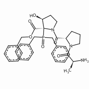 C[C@H](N)C(=O)N1CCC[C@H]1C(=O)N1CC[C@H](O)[C@]1(C(=O)OCc1ccccc1)P(=O)(Cc1ccccc1)Cc1ccccc1